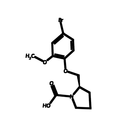 COc1cc(Br)ccc1OC[C@H]1CCCN1C(=O)O